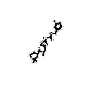 CN(Cc1csc(NC(=O)NCc2cccc(F)c2)n1)C(=O)C1CCOC(C)(C)C1